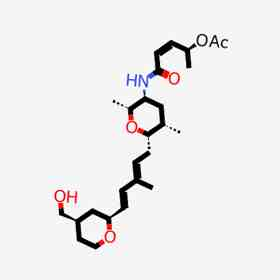 CC(=O)O[C@@H](C)/C=C\C(=O)N[C@@H]1C[C@H](C)[C@H](C/C=C(C)/C=C/[C@@H]2C[C@H](CO)CCO2)O[C@@H]1C